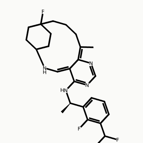 C/C1=c2\ncnc(N[C@H](C)c3cccc(C(F)F)c3F)\c2=C\NC2CCC(F)(CCC1)CC2